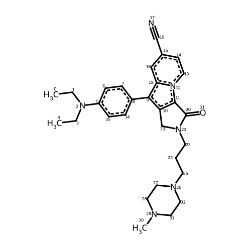 CCN(CC)c1ccc(-c2c3c(n4ccc(C#N)cc24)C(=O)N(CCCN2CCN(C)CC2)C3)cc1